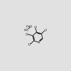 Clc1cnc(Cl)c(Cl)c1Cl.O=CO